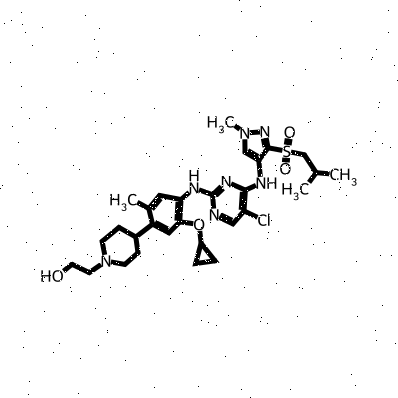 Cc1cc(Nc2ncc(Cl)c(Nc3cn(C)nc3S(=O)(=O)CC(C)C)n2)c(OC2CC2)cc1C1CCN(CCO)CC1